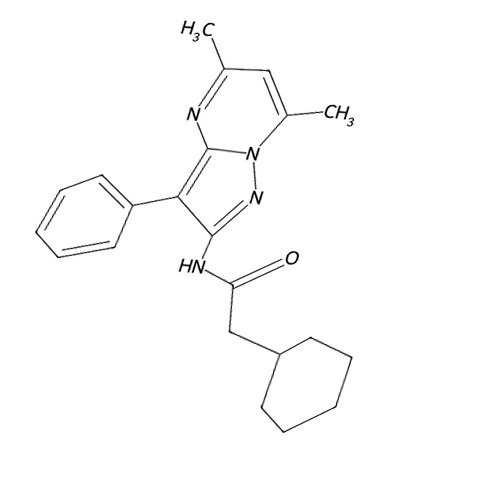 Cc1cc(C)n2nc(NC(=O)CC3CCCCC3)c(-c3ccccc3)c2n1